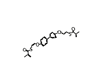 C=C(C)C(=O)S/C=C\Oc1ccc(-c2ccc(OCCSC(=O)C(=C)C)cc2)cc1